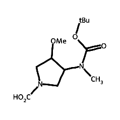 COC1CN(C(=O)O)CC1N(C)C(=O)OC(C)(C)C